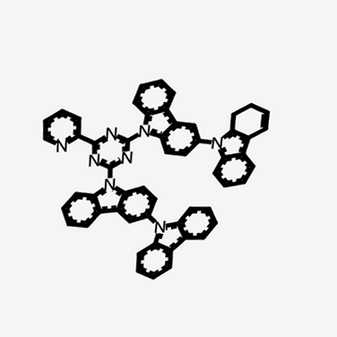 C1=Cc2c(n(-c3ccc4c(c3)c3ccccc3n4-c3nc(-c4ccccn4)nc(-n4c5ccccc5c5cc(-n6c7ccccc7c7ccccc76)ccc54)n3)c3ccccc23)CC1